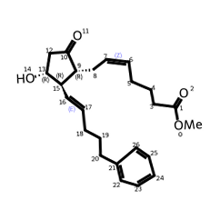 COC(=O)CCC/C=C\C[C@H]1C(=O)C[C@@H](O)[C@@H]1/C=C/CCCc1ccccc1